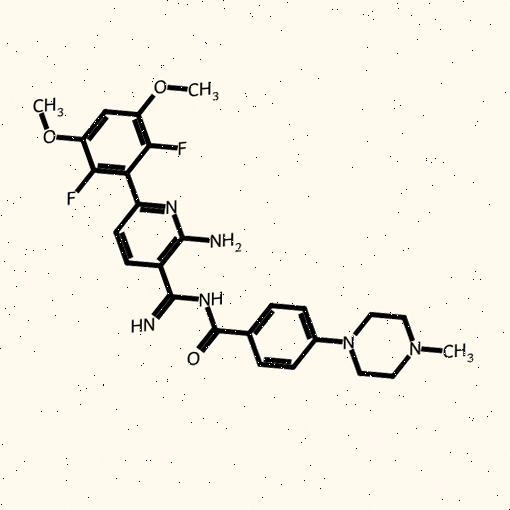 COc1cc(OC)c(F)c(-c2ccc(C(=N)NC(=O)c3ccc(N4CCN(C)CC4)cc3)c(N)n2)c1F